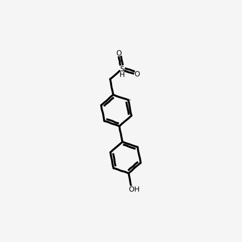 O=[SH](=O)Cc1[c]cc(-c2ccc(O)cc2)cc1